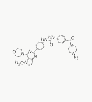 CCN1CCN(C(=O)c2ccc(NC(=O)Nc3ccc(-c4nc(N5CCOCC5)c5c(ccn5C)n4)cc3)cc2)CC1